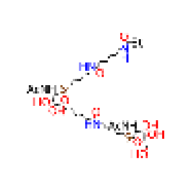 CCC(=O)NCCCCCC(=O)NCCCCCS[C@@H]1OC(CCCCCC(=O)NCCCCCS[C@@H]2OC(CO)[C@H](O)[C@@H](O)C2NC(C)=O)[C@H](O)[C@@H](O)C1NC(C)=O